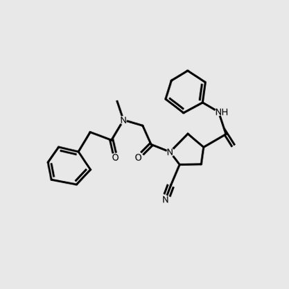 C=C(NC1=CCCC=C1)C1CC(C#N)N(C(=O)CN(C)C(=O)Cc2ccccc2)C1